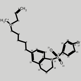 C=CCN(C)CCCCCc1ccc2c(c1)CCCN2S(=O)(=O)c1ccc(Br)cc1